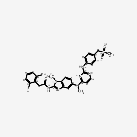 CN(c1ccc2c(c1)nc(NC(=O)Cc1c(F)cccc1F)n2C)c1ccnc(Nc2ccc(CS(C)(=O)=O)cc2)n1